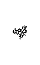 CN(c1ccc(C(F)(F)F)cn1)C1C[C@H]2CC1N(C(=O)c1c(F)cccc1-c1ncccn1)C2